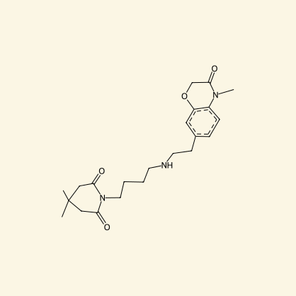 CN1C(=O)COc2cc(CCNCCCCN3C(=O)CC(C)(C)CC3=O)ccc21